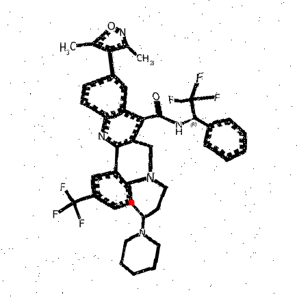 Cc1noc(C)c1-c1ccc2nc(-c3cccc(C(F)(F)F)c3)c(CN3CCC(N4CCCCC4)CC3)c(C(=O)N[C@H](c3ccccc3)C(F)(F)F)c2c1